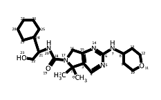 CC1(C)c2cnc(NC3CCOCC3)nc2CN1C(=O)NC(CO)C1CCCCC1